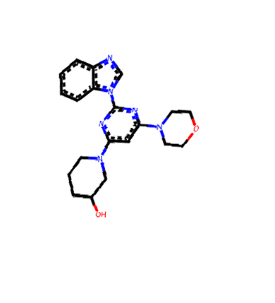 OC1CCCN(c2cc(N3CCOCC3)nc(-n3cnc4ccccc43)n2)C1